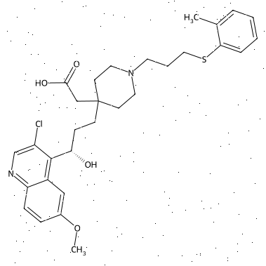 COc1ccc2ncc(Cl)c([C@@H](O)CCC3(CC(=O)O)CCN(CCCSc4ccccc4C)CC3)c2c1